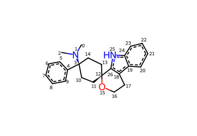 CN(C)[C@]1(c2ccccc2)CC[C@]2(CC1)OCCc1c3ccccc3[nH]c12